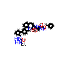 CCNC(=O)NCc1ccccc1-c1ccc(CN2C(=O)[C@H](NC(=O)C(C)(C)NC(=O)OCc3ccccc3)CCc3ccccc32)cc1